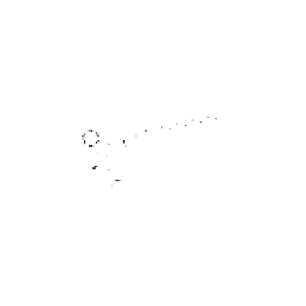 CCCCCCCCCCCCSC(=S)SC(CC(C)(C#N)CCC(=O)O)c1ccccc1